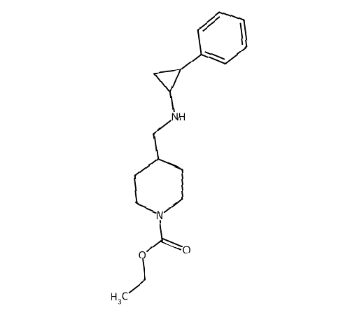 CCOC(=O)N1CCC(CNC2CC2c2ccccc2)CC1